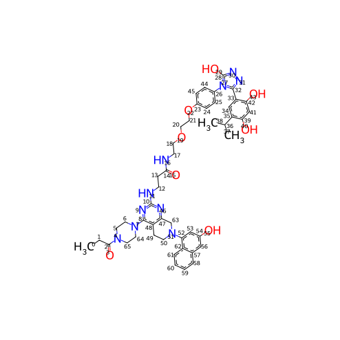 CCC(=O)N1CCN(c2nc(NCCC(=O)NCCOCCOc3ccc(-n4c(O)nnc4-c4cc(C(C)C)c(O)cc4O)cc3)nc3c2CCN(c2cc(O)cc4ccccc24)C3)CC1